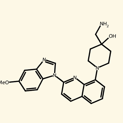 COc1ccc2c(c1)ncn2-c1ccc2cccc(N3CCC(O)(CN)CC3)c2n1